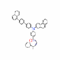 C=C1/C=C\C=C(\c2ccc(N(c3ccc(-c4ccc(-c5cccc6ccccc56)cc4)cc3)c3ccc4c(ccc5ccccc54)c3)cc2)OC2=C1CCC=C2